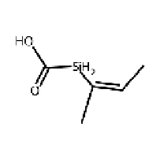 CC=C(C)[SiH2]C(=O)O